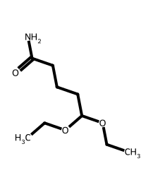 CCOC(CCCC(N)=O)OCC